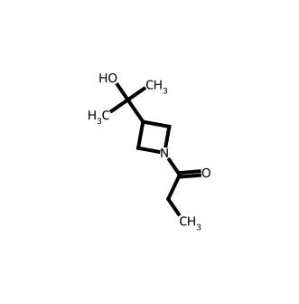 CCC(=O)N1CC(C(C)(C)O)C1